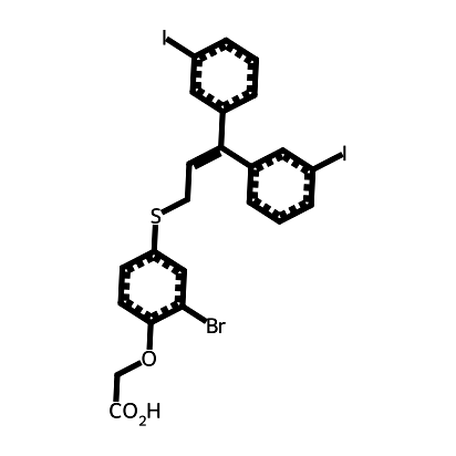 O=C(O)COc1ccc(SCC=C(c2cccc(I)c2)c2cccc(I)c2)cc1Br